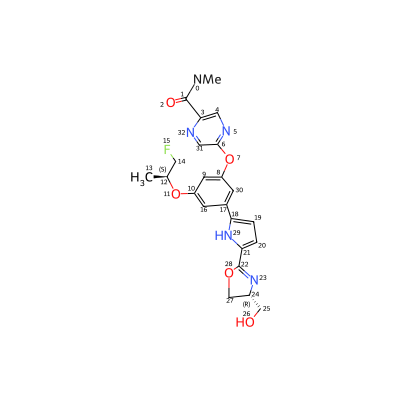 CNC(=O)c1cnc(Oc2cc(O[C@@H](C)CF)cc(-c3ccc(C4=N[C@H](CO)CO4)[nH]3)c2)cn1